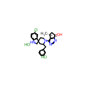 C[C@@H]1C[C@@H](O)c2ncnc(N3CCC4(CNc5ccc(Cl)cc54)CC3Cc3ccccc3)c21.Cl.Cl